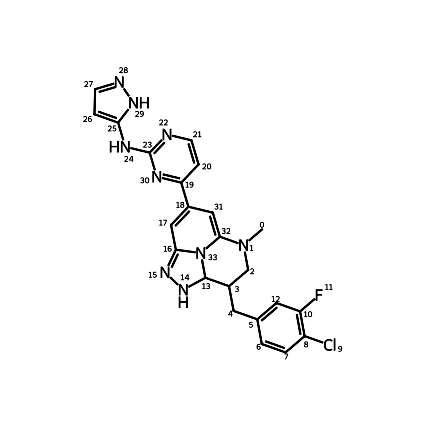 CN1CC(Cc2ccc(Cl)c(F)c2)C2NN=C3C=C(c4ccnc(Nc5ccn[nH]5)n4)C=C1N32